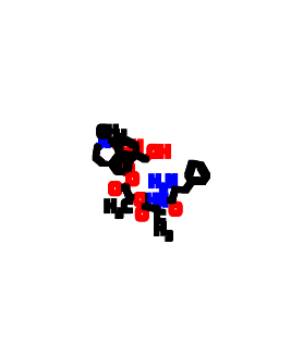 C[C@H](NC(=O)[C@@H](N)Cc1ccccc1)C(=O)O[C@@H](C)C(=O)OC1=CC[C@@]2(O)[C@H]3Cc4ccc(CO)c5c4[C@@]2(CCCN3C)[C@H]1O5